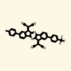 Cc1ccc(-c2ccc3c(c2)C(=C(C#N)C#N)c2nc4c(nc2-3)C(=C(C#N)C#N)c2cc(-c3ccc(C(F)(F)F)cc3)ccc2-4)cc1